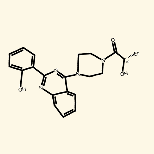 CC[C@H](O)C(=O)N1CCN(c2nc(-c3ccccc3O)nc3ccccc23)CC1